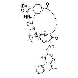 CN(C)C(=O)[C@@H](NC(=O)CNC(=O)C(=O)[C@@H]1CCCCCCC(=O)N2CCCC(C2)[C@H](NC(=O)OC(C)(C)C)C(=O)N2CC3C([C@H]2C(=O)N1)C3(C)C)c1ccccc1